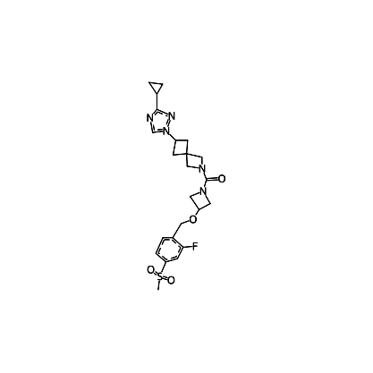 CS(=O)(=O)c1ccc(COC2CN(C(=O)N3CC4(CC(n5cnc(C6CC6)n5)C4)C3)C2)c(F)c1